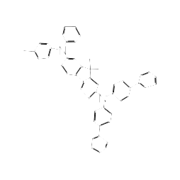 Cc1ccc(N(c2ccccc2)c2ccc3c(c2)C(C)(C)c2cc(N(c4ccc(-c5ccccc5)cc4)c4ccc(-c5ccccc5)cc4)ccc2-3)cc1